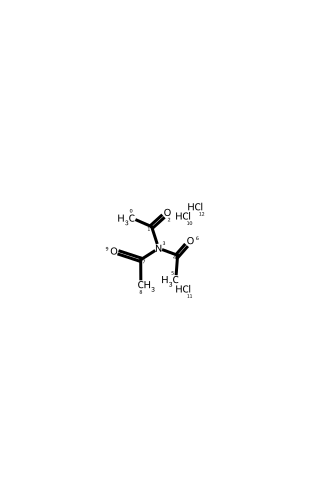 CC(=O)N(C(C)=O)C(C)=O.Cl.Cl.Cl